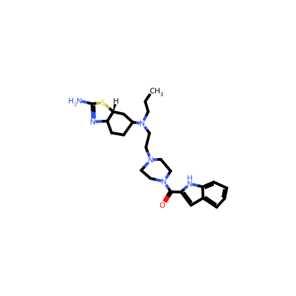 CCCN(CCN1CCN(C(=O)c2cc3ccccc3[nH]2)CC1)C1CCC2N=C(N)S[C@@H]2C1